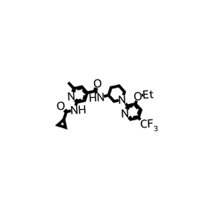 CCOc1cc(C(F)(F)F)cnc1N1CCCC(NC(=O)c2cc(C)nc(NC(=O)C3CC3)c2)C1